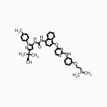 C#CC(C)(C)c1cc(NC(=O)Nc2ccc(Oc3ccnc(Nc4cccc(OCCN(C)C)c4)n3)c3ccccc23)n(-c2ccc(C)cc2)n1